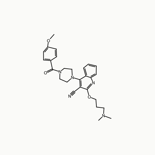 COc1ccc(C(=O)N2CCN(c3c(C#N)c(OCCCN(C)C)nc4ccccc34)CC2)cc1